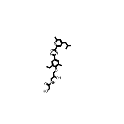 CCc1cc(-c2noc(-c3cc(CC(C)C)cc(C)n3)n2)cc(C)c1OCC(O)CNC(=O)CO